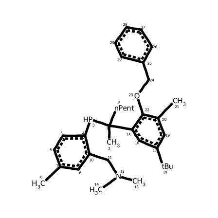 CCCCCC(C)(Pc1ccc(C)cc1CN(C)C)c1cc(C(C)(C)C)cc(C)c1OCc1ccccc1